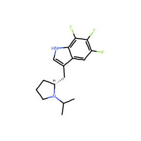 CC(C)N1CCC[C@@H]1Cc1c[nH]c2c(F)c(F)c(F)cc12